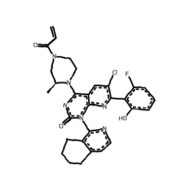 C=CC(=O)N1CCN(c2nc(=O)n(-c3nccc4c3CCCC4)c3nc(-c4c(O)cccc4F)c(Cl)cc23)[C@@H](C)C1